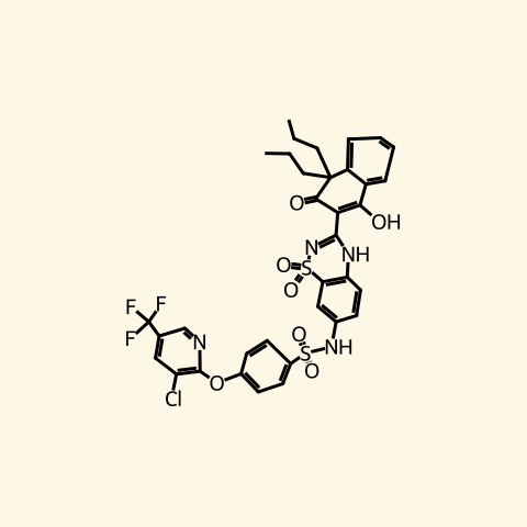 CCCC1(CCC)C(=O)C(C2=NS(=O)(=O)c3cc(NS(=O)(=O)c4ccc(Oc5ncc(C(F)(F)F)cc5Cl)cc4)ccc3N2)=C(O)c2ccccc21